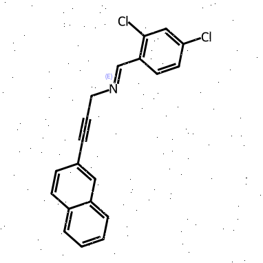 Clc1ccc(/C=N/CC#Cc2ccc3ccccc3c2)c(Cl)c1